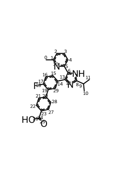 Cc1cccc(-c2[nH]c(C(C)C)nc2-c2ccc(F)c(-c3ccc(C(=O)O)cc3)c2)n1